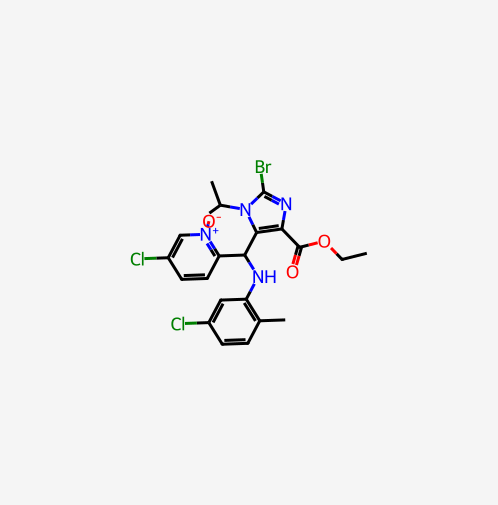 CCOC(=O)c1nc(Br)n(C(C)C)c1C(Nc1cc(Cl)ccc1C)c1ccc(Cl)c[n+]1[O-]